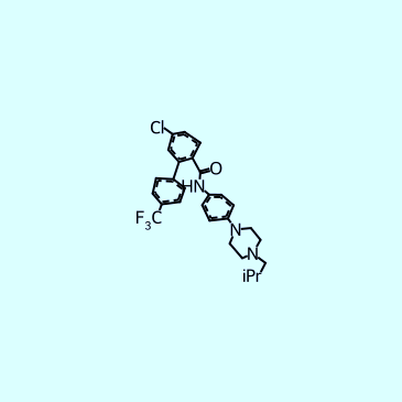 CC(C)CN1CCN(c2ccc(NC(=O)c3ccc(Cl)cc3-c3ccc(C(F)(F)F)cc3)cc2)CC1